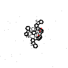 N#Cc1c(-n2c3ccccc3c3ccccc32)c(C#N)c(-n2c3ccccc3c3c4c(ccc32)sc2ccccc24)c(-n2c3ccccc3c3ccccc32)c1-n1c2ccccc2c2c3c(ccc21)sc1ccccc13